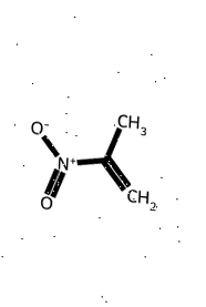 C=C(C)[N+](=O)[O-]